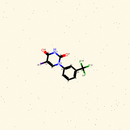 O=c1[nH]c(=O)n(-c2cccc(C(F)(F)F)c2)cc1I